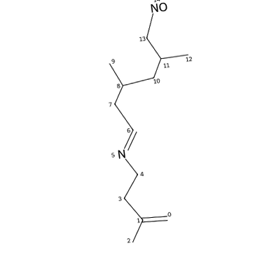 C=C(C)CC/N=C/CC(C)CC(C)CN=O